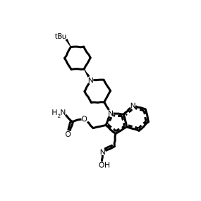 CC(C)(C)[C@H]1CC[C@@H](N2CCC(n3c(COC(N)=O)c(C=NO)c4cccnc43)CC2)CC1